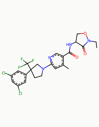 CCN1OCC(NC(=O)c2cnc(N3CCC(c4cc(Cl)cc(Cl)c4)(C(F)(F)F)C3)cc2C)C1=O